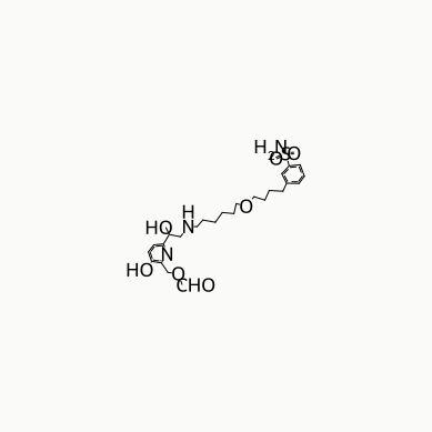 NS(=O)(=O)c1cccc(CCCCOCCCCCCNCC(O)c2ccc(O)c(COC=O)n2)c1